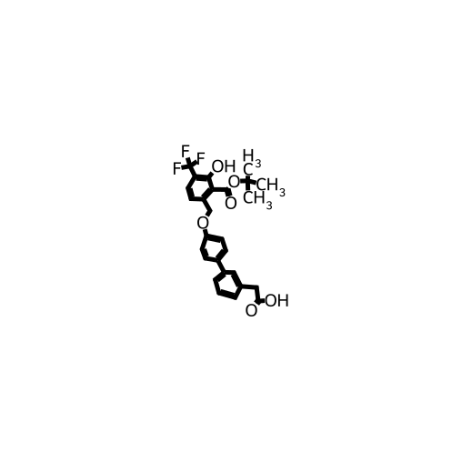 CC(C)(C)OC(=O)c1c(COc2ccc(-c3cccc(CC(=O)O)c3)cc2)ccc(C(F)(F)F)c1O